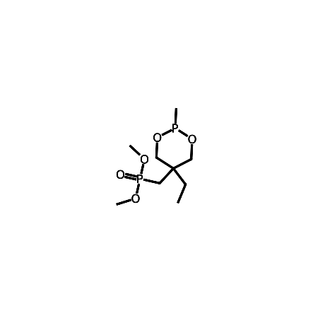 CCC1(CP(=O)(OC)OC)COP(C)OC1